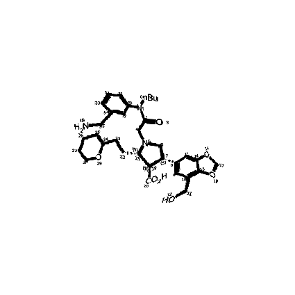 CCCCN(C(=O)CN1C[C@H](c2cc(CO)c3c(c2)OCO3)[C@@H](C(=O)O)[C@@H]1CCC1CCCCO1)c1cccc(CN)c1